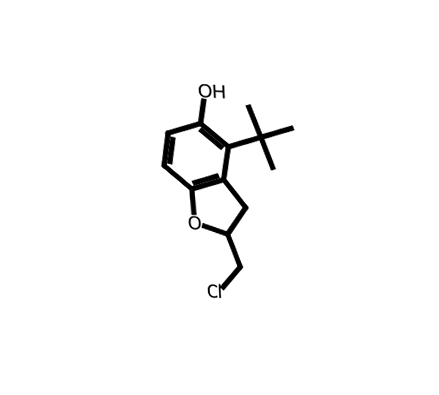 CC(C)(C)c1c(O)ccc2c1CC(CCl)O2